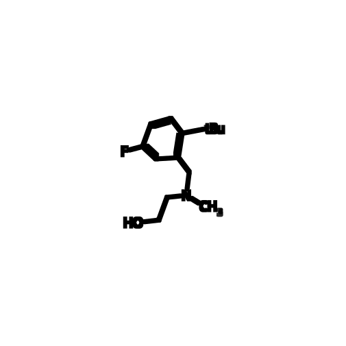 CN(CCO)Cc1cc(F)ccc1C(C)(C)C